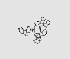 CC1(C)c2ccccc2-c2ccc(N(c3ccc4c(c3)C3(c5ccccc5-4)c4ccccc4-c4c3cc3c5c(cccc45)-c4ccccc4-3)c3ccc4oc5ccccc5c4c3)cc21